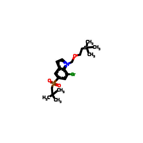 CC(C)(C)CS(=O)(=O)c1cc(Br)c2c(ccn2COCC[Si](C)(C)C)c1